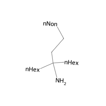 CCCCCCCCCCCC(N)(CCCCCC)CCCCCC